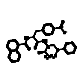 NC(=O)[C@H](CN(N)c1ccccc1)NC(=O)C(Cc1ccc([N+](=O)[O-])cc1)NC(=O)c1cccc2ccccc12